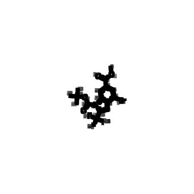 COC(=O)c1cc(Br)c2cc(C(F)(F)F)n(C(=O)OC(C)(C)C)c2c1